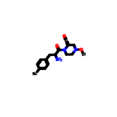 CCON1CCN(C(=O)C(N)Cc2ccc(C#N)cc2)C(=C=O)C1